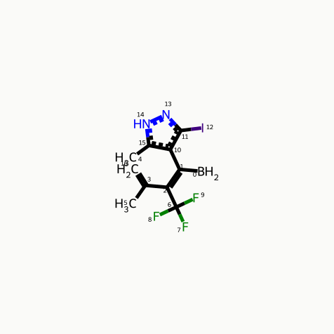 B/C(=C(/C(=C)C)C(F)(F)F)c1c(I)n[nH]c1C